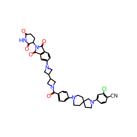 N#Cc1ccc(N2CCC3(CCN(c4ccc(C(=O)N5CC(C6CN(c7ccc8c(c7)C(=O)N(C7CCC(=O)NC7=O)C8=O)C6)C5)cc4)CC3)C2)cc1Cl